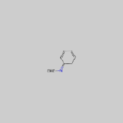 O=CN=C1C=[C]C=CC1